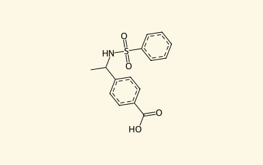 CC(NS(=O)(=O)c1ccccc1)c1ccc(C(=O)O)cc1